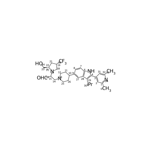 Cc1cc(-c2[nH]c3ccc(C4CCN(CC(C=O)N5CC(C(F)(F)F)C[C@@H]5CO)CC4)cc3c2C(C)C)cc(C)n1